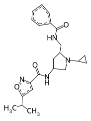 CC(C)c1cc(C(=O)NC2CC(CNC(=O)c3ccccc3)N(C3CC3)C2)no1